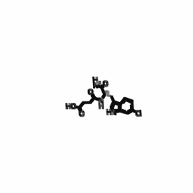 NC(=O)[C@H](Cc1c[nH]c2cc(Cl)ccc12)NC(=O)CCC(=O)O